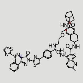 Cc1ccc2c(N)c(C(=O)NC3CCc4cc(N5CC6CCC(C5)C6C(=O)NCCOCCNC(=O)c5ccc(-c6csc(N7N=C(c8ccccc8)/C(=N\Nc8nccs8)C7=O)n6)cc5)ccc4C3)sc2n1